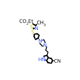 CCOC(=O)c1sc(Sc2ccc(N3CCN(CCCc4c[nH]c5ccc(C#N)cc45)CC3)cc2)nc1C